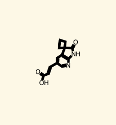 O=C(O)/C=C/c1cnc2c(c1)C1(CCC1)C(=O)N2